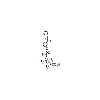 CC(COC(C)(C)CCNC(=O)COc1cccc(C(=O)OCc2ccccc2)c1)C(=O)O